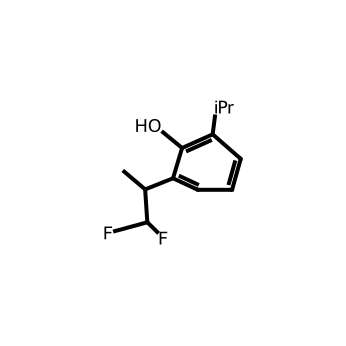 CC(C)c1cccc(C(C)C(F)F)c1O